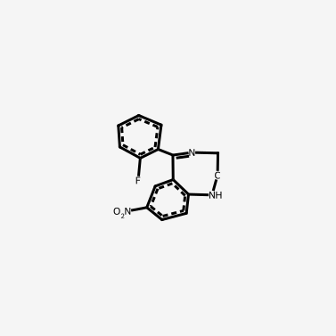 O=[N+]([O-])c1ccc2c(c1)C(c1ccccc1F)=NCCN2